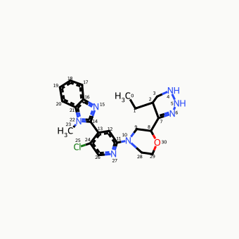 CCC1CNNN=C1C1CN(c2cc(-c3nc4ccccc4n3C)c(Cl)cn2)CCO1